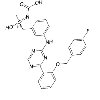 C[SH](O)(Cc1cccc(Nc2ncnc(-c3ccccc3OCc3ccc(F)cc3)n2)c1)=NC(=O)O